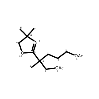 CC(=O)OCCCC(C)(COC(C)=O)C1=NC(C)(C)CO1